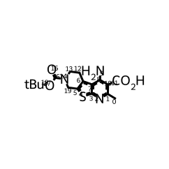 Cc1nc2sc3c(c2c(N)c1C(=O)O)CCN(C(=O)OC(C)(C)C)C3